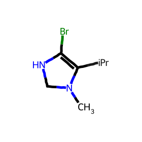 CC(C)C1=C(Br)NCN1C